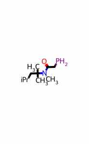 CC(C)CC(C)(C)N(C)C(=O)CP